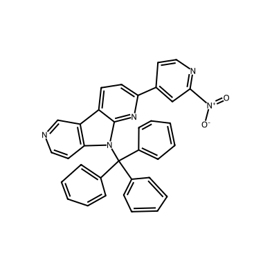 O=[N+]([O-])c1cc(-c2ccc3c4cnccc4n(C(c4ccccc4)(c4ccccc4)c4ccccc4)c3n2)ccn1